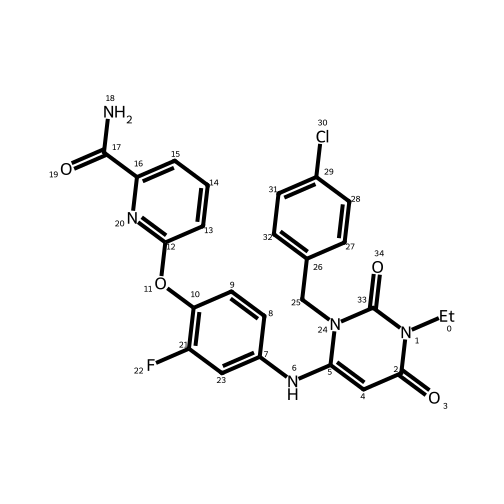 CCn1c(=O)cc(Nc2ccc(Oc3cccc(C(N)=O)n3)c(F)c2)n(Cc2ccc(Cl)cc2)c1=O